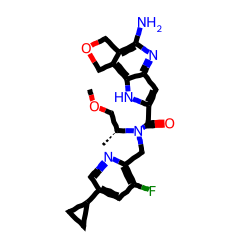 COC[C@@H](C)N(Cc1ncc(C2CC2)cc1F)C(=O)c1cc2nc(N)c3c(c2[nH]1)COC3